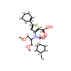 COCC(COC)N(c1cc(C2=CCCCC2)sc1C(=O)O)C(=O)[C@H]1CC[C@H](C)CC1